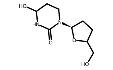 O=C1NC(O)CCN1[C@H]1CCC(CO)O1